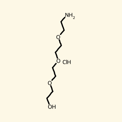 Cl.NCCOCCOCCOCCO